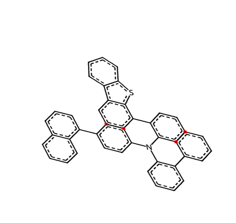 c1ccc(-c2ccccc2N(c2ccc(-c3cccc4ccccc34)cc2)c2ccccc2-c2cccc3c2sc2ccccc23)cc1